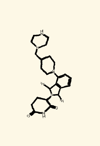 [2H]C1c2cccc(N3CCC(CN4CCNCC4)CC3)c2C([2H])N1C1CCC(=O)NC1=O